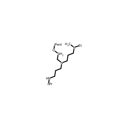 CCCNCCCN(CCCN(C)CC)C[SiH2]OC(C)CCC